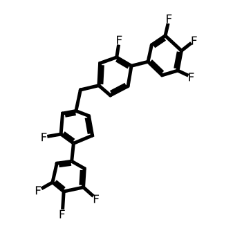 Fc1cc(Cc2ccc(-c3cc(F)c(F)c(F)c3)c(F)c2)ccc1-c1cc(F)c(F)c(F)c1